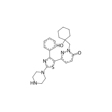 O=c1ccc(-c2sc(N3CCNCC3)nc2-c2ccccc2)nn1CC1(O)CCCCC1